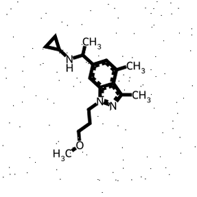 COCCCn1nc(C)c2c(C)cc(C(C)NC3CC3)cc21